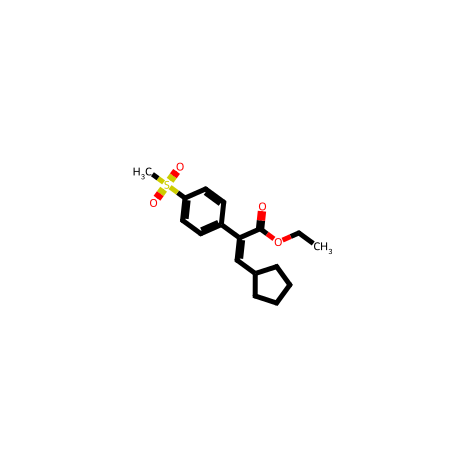 CCOC(=O)C(=CC1CCCC1)c1ccc(S(C)(=O)=O)cc1